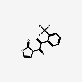 C=C(C(=O)n1ccoc1=O)c1ccccc1C(F)(F)F